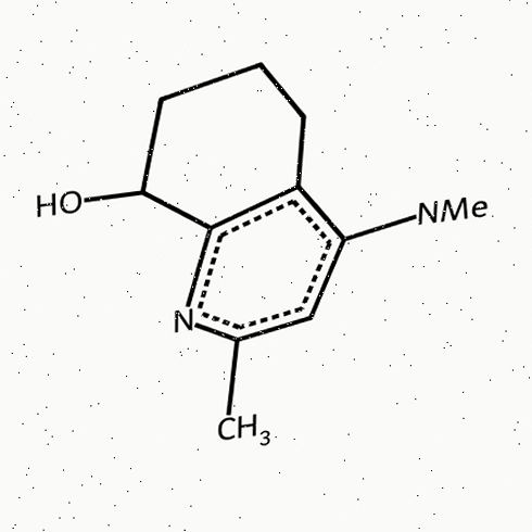 CNc1cc(C)nc2c1CCCC2O